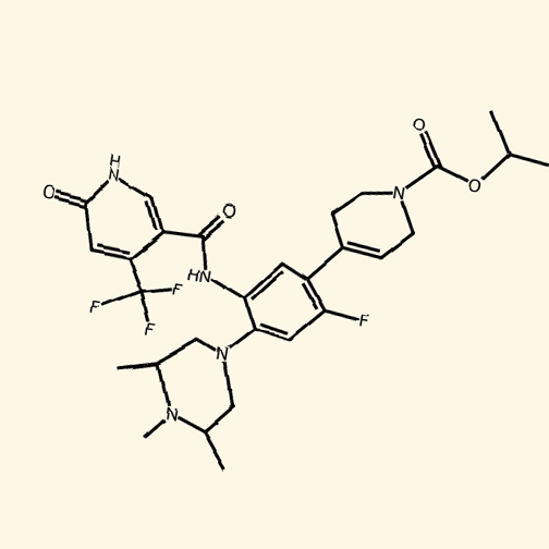 CC(C)OC(=O)N1CC=C(c2cc(NC(=O)c3c[nH]c(=O)cc3C(F)(F)F)c(N3CC(C)N(C)C(C)C3)cc2F)CC1